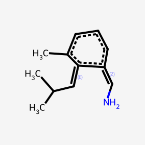 Cc1cccc(=C/N)/c1=C/C(C)C